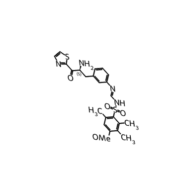 COc1cc(C)c(S(=O)(=O)NC=Nc2cccc(C[C@H](N)C(=O)c3nccs3)c2)c(C)c1C